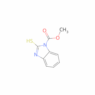 COC(=O)n1c(S)nc2ccccc21